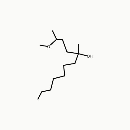 CCCCCCCC(C)(O)CCC(C)OC